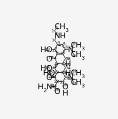 CCNCc1cc(N(C)C)c2c(c1O)C(=O)C1=C(O)[C@]3(O)C(=O)C(C(N)=O)=C(O)[C@@H](N(C)C)[C@@H]3C[C@@H]1C2